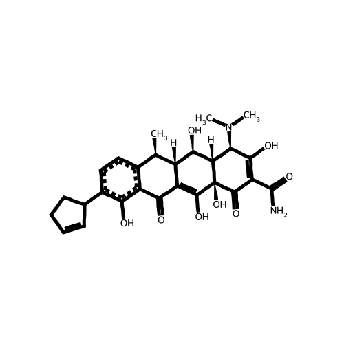 C[C@@H]1c2ccc(C3C=CCC3)c(O)c2C(=O)C2=C(O)[C@@]3(O)C(=O)C(C(N)=O)=C(O)[C@H](N(C)C)[C@H]3[C@H](O)[C@H]21